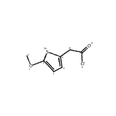 COc1ccc(CC(=O)Cl)s1